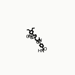 CCc1cc(-c2ccc(/C=C3/ON(c4ccc(C(=O)NC)cc4)N=C3C)o2)c([N+](=O)[O-])cc1CC